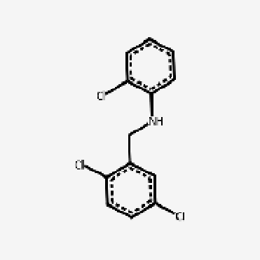 Clc1ccc(Cl)c(CNc2ccccc2Cl)c1